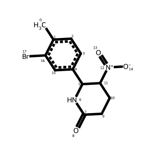 Cc1ccc(C2NC(=O)CCC2[N+](=O)[O-])cc1Br